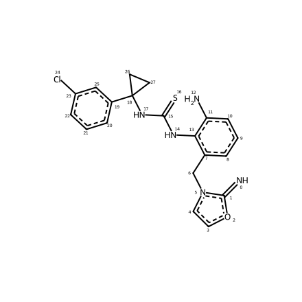 N=c1occn1Cc1cccc(N)c1NC(=S)NC1(c2cccc(Cl)c2)CC1